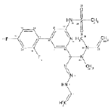 C=CNN=CC(c1cc(-c2ccc(F)cc2F)cc(NS(C)(=O)=O)n1)N(C)N(C)C=C